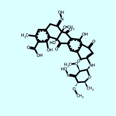 CO[C@@H]1/C(=N/O)[C@@H](OC)[C@@H](NC2=CC(=O)c3c(cc4c(c3O)C(=O)C3(OC)C(=NO)Cc5cc(C)c(C(=O)O)c(O)c5C3(O)C4=O)C2=O)O[C@H]1C